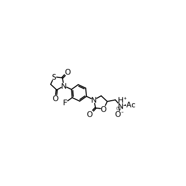 CC(=O)[N@@H+]([O-])CC1CN(c2ccc(N3C(=O)CSC3=O)c(F)c2)C(=O)O1